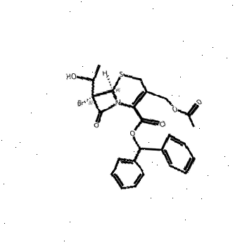 CC(=O)OCC1=C(C(=O)OC(c2ccccc2)c2ccccc2)N2C(=O)[C@@](Br)(C(C)O)[C@H]2SC1